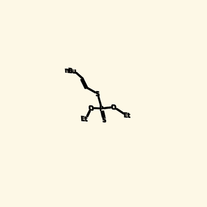 CCCCC=CSP(=S)(OCC)OCC